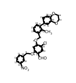 Cc1c(COc2cc(OCc3cccc([N+](=O)[O-])c3)c(C=O)cc2Cl)cccc1-c1ccc2c(c1)OCCO2